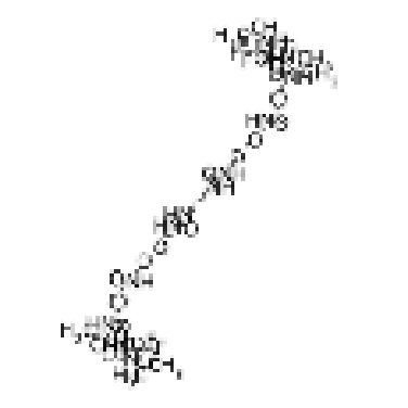 CC(C)C(NC(=O)[C@@H]1CCCN1C(=O)[C@@H](NC(=O)c1ccc(C(=O)NCCOCCOCCNC(=O)NCCCCNC(=O)NCCOCCOCCNC(=O)c2ccc(C(=O)N[C@H](C(=O)N3CCC[C@H]3C(=O)NC(C(C)C)C(O)C(F)(F)F)C(C)C)cc2)cc1)C(C)C)C(O)C(F)(F)F